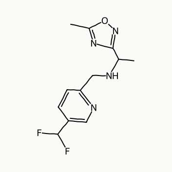 Cc1nc(C(C)NCc2ccc(C(F)F)cn2)no1